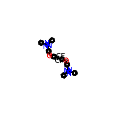 FC(F)(F)C(c1ccc(Oc2ccc(-c3nc(C4=CCCC=C4)nc(-c4ccccc4)n3)cc2)cc1)(c1ccc(Oc2ccc(-c3nc(-c4ccccc4)nc(-c4ccccc4)n3)cc2)cc1)C(F)(F)F